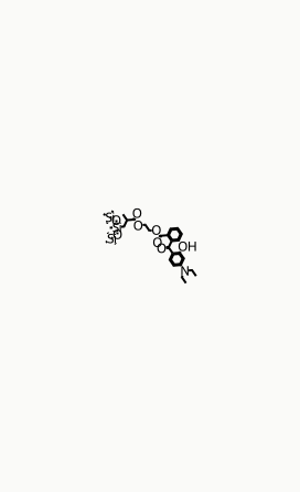 CCN(CC)c1ccc(C(=O)c2ccccc2C(=O)OCCOC(=O)C(C)C[Si](C)(O[Si](C)(C)C)O[Si](C)(C)C)c(O)c1